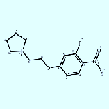 O=[N+]([O-])c1ccc(OCCN2CCCC2)cc1F